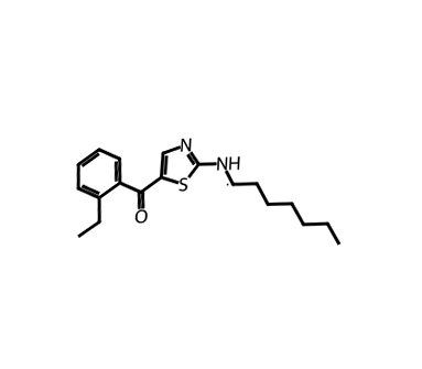 CCCCCC[CH]Nc1ncc(C(=O)c2ccccc2CC)s1